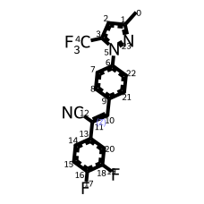 Cc1cc(C(F)(F)F)n(-c2ccc(/C=C(\C#N)c3ccc(F)c(F)c3)cc2)n1